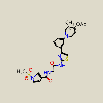 CC(=O)O[C@H]1CCN(c2cccc(-c3csc(NC(=O)CNC(=O)c4ccn(S(C)(=O)=O)c4)n3)c2)C[C@@H]1C